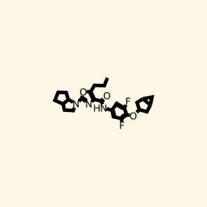 CCCc1oc(N2CCC3CCCC32)nc1C(=O)Nc1cc(F)c(OC2CC3CC3C2)c(F)c1